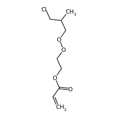 C=CC(=O)OCCOOCC(C)CCl